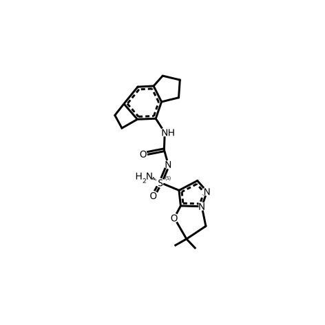 CC1(C)Cn2ncc([S@@](N)(=O)=NC(=O)Nc3c4c(cc5c3CC5)CCC4)c2O1